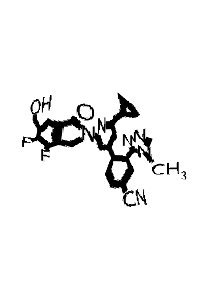 Cn1cnnc1-c1cc(C#N)ccc1-c1cc(C2CC2)nc(N2Cc3c(cc(CO)c(F)c3F)C2=O)c1